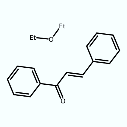 CCOCC.O=C(C=Cc1ccccc1)c1ccccc1